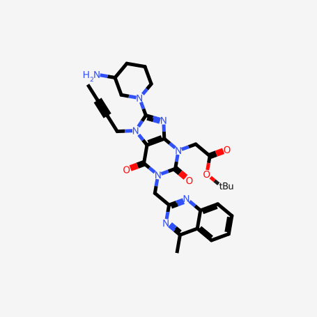 CC#CCn1c(N2CCCC(N)C2)nc2c1c(=O)n(Cc1nc(C)c3ccccc3n1)c(=O)n2CC(=O)OC(C)(C)C